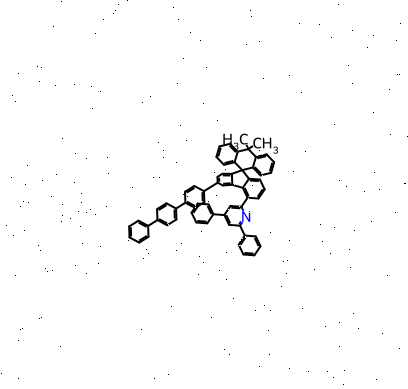 CC1(C)c2ccccc2C2(c3ccc(-c4ccc(-c5ccc(-c6ccccc6)cc5)cc4)cc3-c3c(-c4cc(-c5ccccc5)cc(-c5ccccc5)n4)cccc32)c2ccccc21